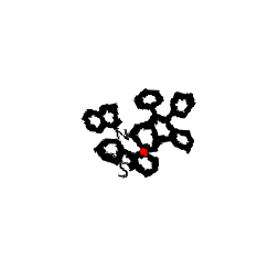 c1ccc(-c2c(-c3ccccc3)c3cc(N(c4cccc5ccccc45)c4cccc5sc6ccccc6c45)ccc3c3ccccc23)cc1